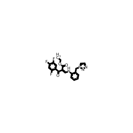 CCOC(=O)C(=CNc1ccccc1Cn1ccnn1)C(=O)c1cc(F)c(F)cc1F